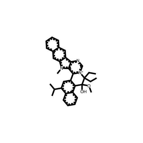 CCC1(CC)[n+]2cnc3c4cc5ccccc5cc4n(C)c3c2-c2cc(C(C)C)c3ccccc3c2C1(O)OC